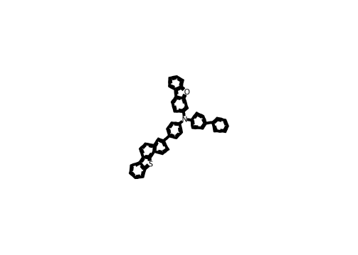 c1ccc(-c2ccc(N(c3ccc(-c4ccc5c(ccc6c7ccccc7sc56)c4)cc3)c3ccc4c(c3)oc3ccccc34)cc2)cc1